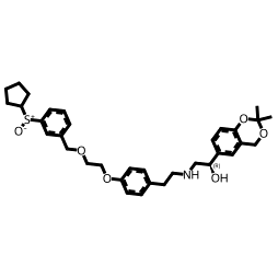 CC1(C)OCc2cc([C@@H](O)CNCCc3ccc(OCCOCc4cccc([S+]([O-])C5CCCC5)c4)cc3)ccc2O1